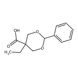 CCC1(C(=O)O)COC(c2ccccc2)OC1